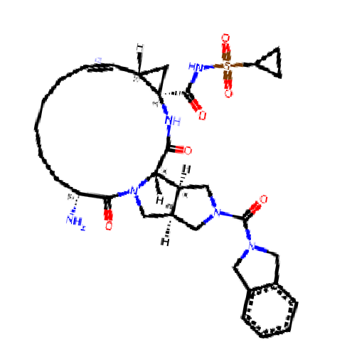 N[C@@H]1CCCCC/C=C\[C@@H]2C[C@@]2(C(=O)NS(=O)(=O)C2CC2)NC(=O)[C@@H]2[C@H]3CN(C(=O)N4Cc5ccccc5C4)C[C@H]3CN2C1=O